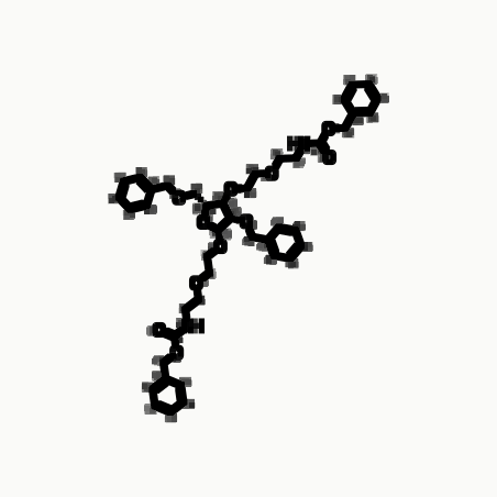 O=C(NCCOCCO[C@H]1O[C@H](COCc2ccccc2)[C@@H](OCCOCCNC(=O)OCc2ccccc2)[C@H]1OCc1ccccc1)OCc1ccccc1